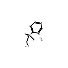 C[N+](C)(CCl)c1ccccc1.[Br-]